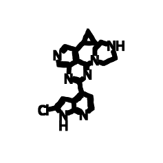 Clc1cc2c(-c3nc(N4CCNCC4)c4c(C5CC5)cncc4n3)ccnc2[nH]1